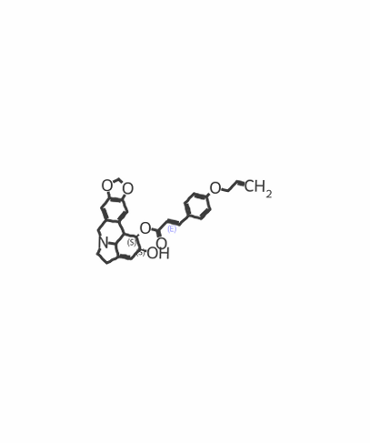 C=CCOc1ccc(/C=C/C(=O)O[C@H]2C3c4cc5c(cc4CN4CCC(=C[C@@H]2O)C34)OCO5)cc1